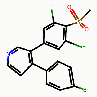 CS(=O)(=O)c1c(F)cc(-c2cnccc2-c2ccc(Br)cc2)cc1F